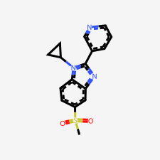 CS(=O)(=O)c1ccc2c(c1)nc(-c1cccnc1)n2C1CC1